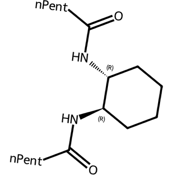 CCCCCC(=O)N[C@@H]1CCCC[C@H]1NC(=O)CCCCC